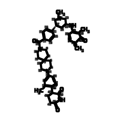 Cc1cc(N2CCC3(CCN(C(=O)c4ccc([C@H]5C[C@@H](Nc6cnn(C)c(=O)c6C)CN(C)C5)cc4)CC3)CC2)cnc1C1CCC(=O)NC1=O